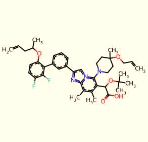 C=CCOC1(C)CCN(c2c(C(OC(C)(C)C)C(=O)O)c(C)c(C)c3nc(-c4cccc(-c5c(OC(C)CC=C)ccc(F)c5F)c4)cn23)CC1